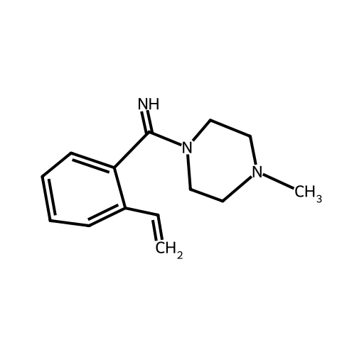 C=Cc1ccccc1C(=N)N1CCN(C)CC1